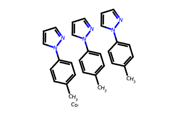 Cc1ccc(-n2cccn2)cc1.Cc1ccc(-n2cccn2)cc1.Cc1ccc(-n2cccn2)cc1.[Co]